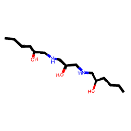 CCCCC(O)CNCC(O)CNCC(O)CCCC